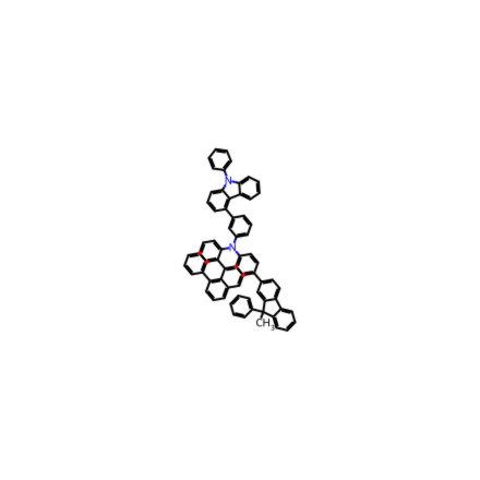 CC1(c2ccccc2)c2ccccc2-c2ccc(-c3ccc(N(c4cccc(-c5cccc6c5c5ccccc5n6-c5ccccc5)c4)c4ccccc4-c4cccc5cccc(-c6ccccc6)c45)cc3)cc21